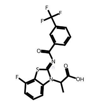 CC(C(=O)O)n1/c(=N/C(=O)c2cccc(C(F)(F)F)c2)sc2c(F)cccc21